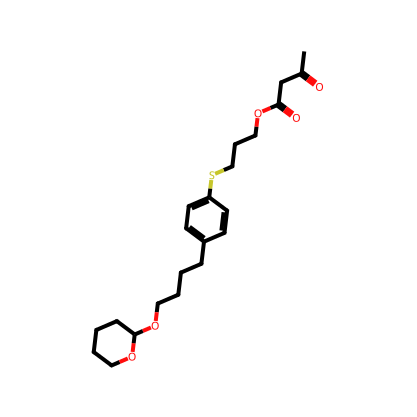 CC(=O)CC(=O)OCCCSc1ccc(CCCCOC2CCCCO2)cc1